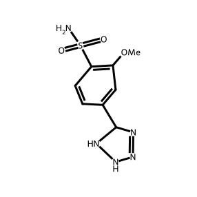 COc1cc(C2N=NNN2)ccc1S(N)(=O)=O